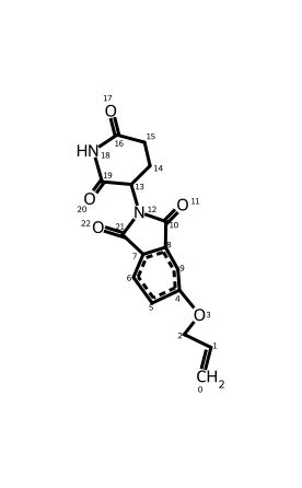 C=CCOc1ccc2c(c1)C(=O)N(C1CCC(=O)NC1=O)C2=O